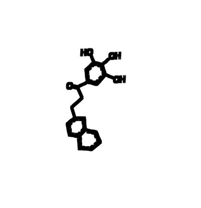 O=C(CCc1ccc2ccccc2c1)c1cc(O)c(O)c(O)c1